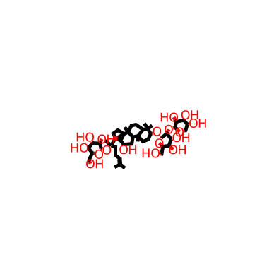 CC(C)=CCCC(C)(OC1OC(CO)C(O)C(O)C1O)C1CCC2(C)C1C(O)CC1C3(C)CCC(OC4OC(CO)C(O)C(O)C4OC4OCC(O)C(O)C4O)C(C)(C)C3CCC12C